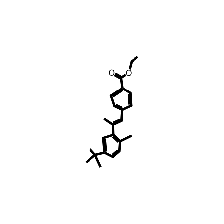 CCOC(=O)c1ccc(/C=C(\C)c2cc(C(C)(C)C)ccc2C)cc1